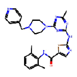 Cc1nc(Nc2ncc(C(=O)Nc3c(C)cccc3C)s2)nc(N2CCN(Cc3ccncc3)CC2)n1